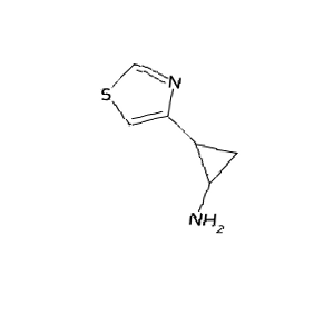 NC1CC1c1cscn1